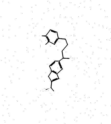 CCCC[C@H](C)C1=Cc2cc(C(C)CC[C@@H](C)c3ccc(C)c(C)c3)ccc2C1